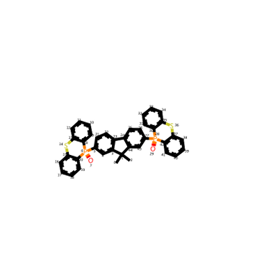 CC1(C)c2cc(P3(=O)c4ccccc4Sc4ccccc43)ccc2-c2ccc(P3(=O)c4ccccc4Sc4ccccc43)cc21